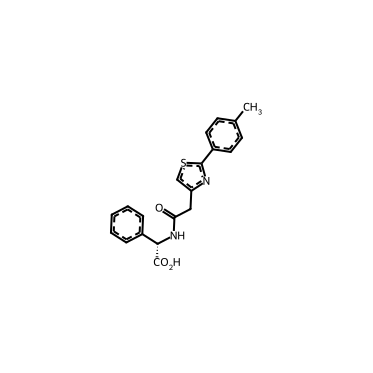 Cc1ccc(-c2nc(CC(=O)N[C@H](C(=O)O)c3ccccc3)cs2)cc1